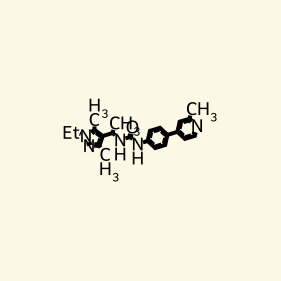 CCn1nc(C)c(C(C)NC(=O)Nc2ccc(-c3ccnc(C)c3)cc2)c1C